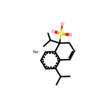 CC(C)c1cccc2c1C=CCC2(C(C)C)S(=O)(=O)[O-].[Na+]